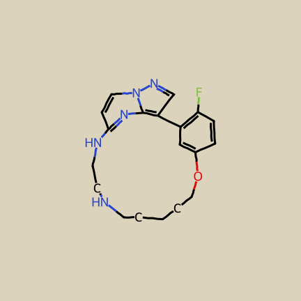 Fc1ccc2cc1-c1cnn3ccc(nc13)NCCNCCCCCO2